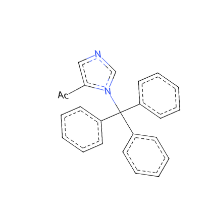 CC(=O)c1cncn1C(c1ccccc1)(c1ccccc1)c1ccccc1